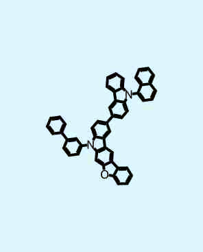 c1ccc(-c2cccc(-n3c4ccc(-c5ccc6c(c5)c5ccccc5n6-c5cccc6ccccc56)cc4c4cc5c(cc43)oc3ccccc35)c2)cc1